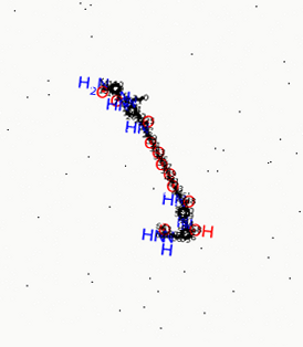 CCCn1/c(=N/C(=O)c2cccc(C(N)=O)c2)[nH]c2ccc(/C=C/C(=O)NCCCOCCOCCOCCOCCOCCCNC(=O)c3ccc(/N=N/c4cc(CCNC(=N)OC)ccc4O)cc3)cc21